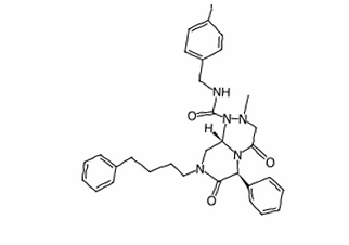 CN1CC(=O)N2[C@@H](c3ccccc3)C(=O)N(CCCCc3ccccc3)C[C@@H]2N1C(=O)NCc1ccc(F)cc1